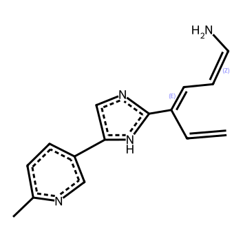 C=C/C(=C\C=C/N)c1ncc(-c2ccc(C)nc2)[nH]1